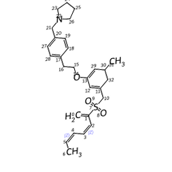 C=C(/C=C\C=C/C)S(=O)(=O)CC1=CC(OCCc2ccc(CN3CCCC3)cc2)=CC(C)C1